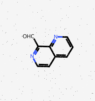 O=[C]c1nccc2cccnc12